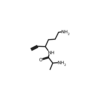 C#CC(CCCN)NC(=O)C(C)N